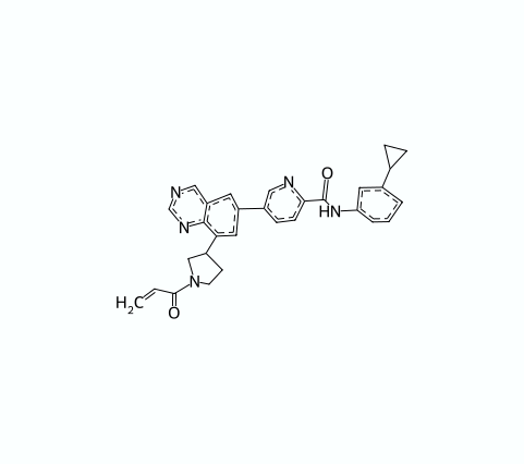 C=CC(=O)N1CCC(c2cc(-c3ccc(C(=O)Nc4cccc(C5CC5)c4)nc3)cc3cncnc23)C1